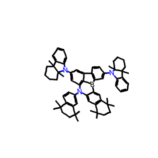 CC1(C)CCC(C)(C)c2cc(N3c4cc5c(cc4B4c6cc(N7c8ccccc8C8(C)CCCCC78C)ccc6-c6cc(N7c8ccccc8C8(C)CCCCC78C)cc3c64)C(C)(C)CCC5(C)C)ccc21